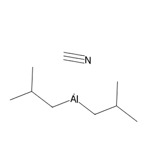 C#N.CC(C)[CH2][Al][CH2]C(C)C